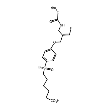 CC(C)(C)OC(=O)NC/C(=C\F)COc1ccc(S(=O)(=O)CCCCCC(=O)O)cc1